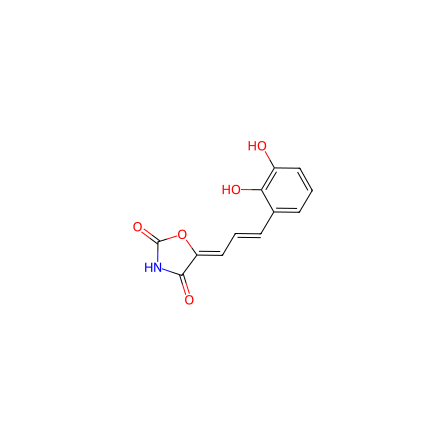 O=C1NC(=O)C(=CC=Cc2cccc(O)c2O)O1